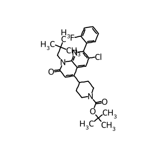 CC(C)(C)Cn1c(=O)cc(C2CCN(C(=O)OC(C)(C)C)CC2)c2cc(Cl)c(-c3ccccc3F)nc21